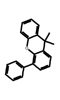 CC1(C)c2ccccc2Oc2c(-c3ccccc3)cccc21